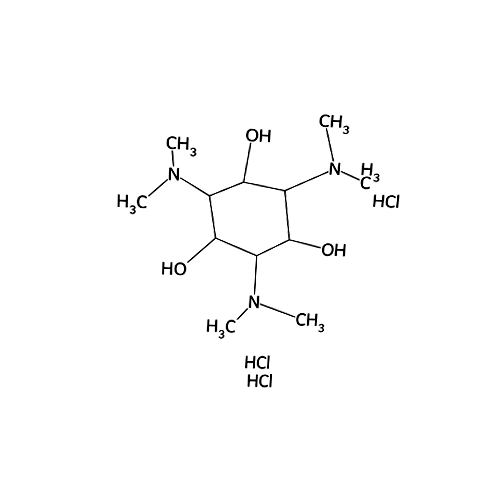 CN(C)C1C(O)C(N(C)C)C(O)C(N(C)C)C1O.Cl.Cl.Cl